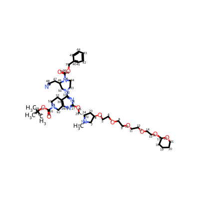 CN1C[C@H](OCCOCCOCCOCCOC2CCCCO2)C[C@H]1COc1nc2c(c(N3CCN(C(=O)OCc4ccccc4)C(CC#N)C3)n1)CCN(C(=O)OC(C)(C)C)C2